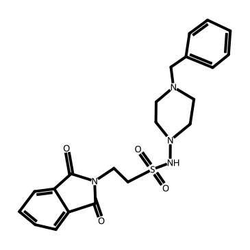 O=C1c2ccccc2C(=O)N1CCS(=O)(=O)NN1CCN(Cc2ccccc2)CC1